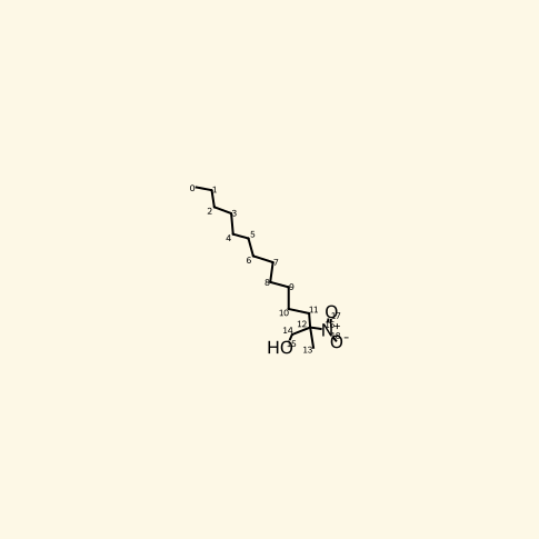 CCCCCCCCCCCCC(C)(CO)[N+](=O)[O-]